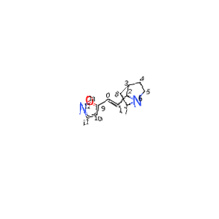 C(=C\C1C2CCN1CC2)/c1ccno1